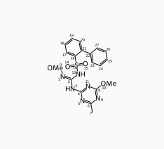 CON=C(Nc1nc(C)nc(OC)n1)NS(=O)(=O)c1ccccc1-c1ccccc1